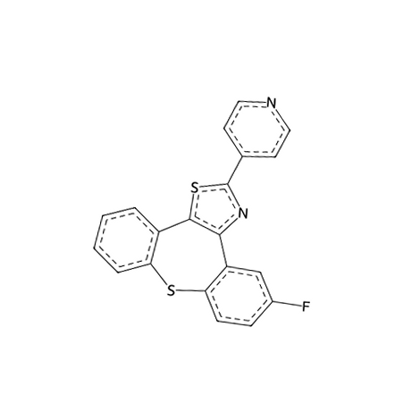 Fc1ccc2c(c1)-c1nc(-c3ccncc3)sc1-c1ccccc1S2